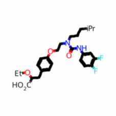 CCOC(Cc1ccc(OCCN(CCCC(C)C)C(=O)Nc2ccc(F)c(F)c2)cc1)C(=O)O